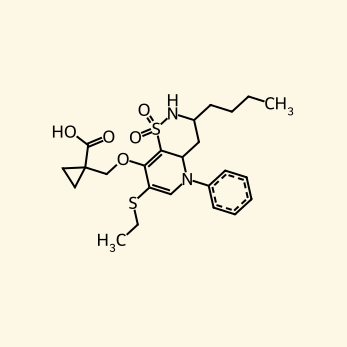 CCCCC1CC2C(=C(OCC3(C(=O)O)CC3)C(SCC)=CN2c2ccccc2)S(=O)(=O)N1